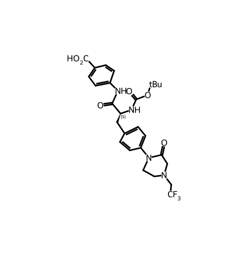 CC(C)(C)OC(=O)N[C@@H](Cc1ccc(N2CCN(CC(F)(F)F)CC2=O)cc1)C(=O)Nc1ccc(C(=O)O)cc1